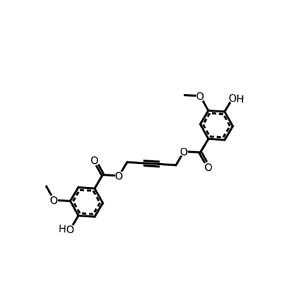 COc1cc(C(=O)OCC#CCOC(=O)c2ccc(O)c(OC)c2)ccc1O